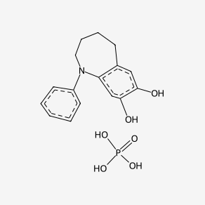 O=P(O)(O)O.Oc1cc2c(cc1O)N(c1ccccc1)CCCC2